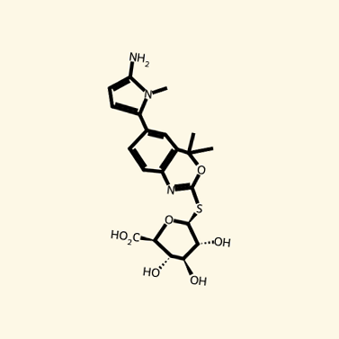 Cn1c(N)ccc1-c1ccc2c(c1)C(C)(C)OC(S[C@@H]1O[C@H](C(=O)O)[C@@H](O)[C@H](O)[C@H]1O)=N2